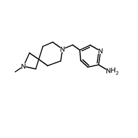 CN1CC2(CCN(Cc3ccc(N)nc3)CC2)C1